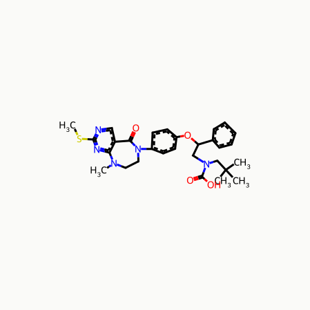 CSc1ncc2c(n1)N(C)CCN(c1ccc(OC(CN(CC(C)(C)C)C(=O)O)c3ccccc3)cc1)C2=O